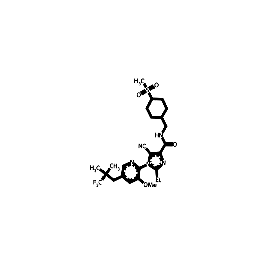 CCc1nc(C(=O)NCC2CCC(S(C)(=O)=O)CC2)c(C#N)n1-c1ncc(CC(C)(C)C(F)(F)F)cc1OC